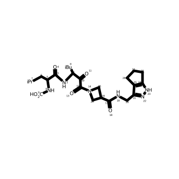 CCC(C)C(NC(=O)C(CC(C)C)NC(=O)O)C(=O)C(=O)N1CC(C(=O)NCc2n[nH]c3c2CCC3)C1